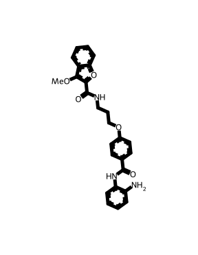 COc1c(C(=O)NCCCOc2ccc(C(=O)Nc3ccccc3N)cc2)oc2ccccc12